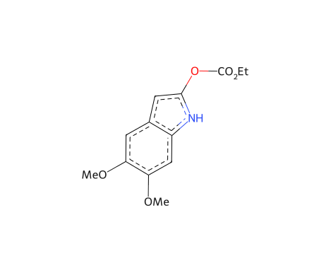 CCOC(=O)Oc1cc2cc(OC)c(OC)cc2[nH]1